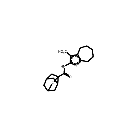 O=C(O)c1c(NC(=O)C23CC4CC(CC2C4)C3)sc2c1CCCCC2